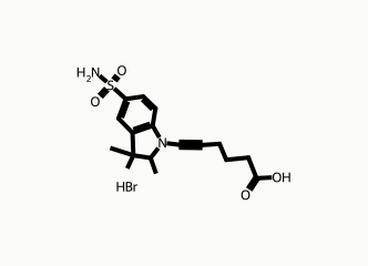 Br.CC1N(C#CCCCC(=O)O)c2ccc(S(N)(=O)=O)cc2C1(C)C